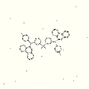 Cc1ccc(N(c2ccc3c(c2)C(C)(C)c2cc(N(c4ccc(C)cc4)c4cc5ccccc5c5ccccc45)ccc2-3)c2cc3ccccc3c3ccccc23)cc1